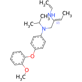 C=CN/C(=C\C)CN(c1ccc(Oc2ccccc2OC)cc1)C(C)C